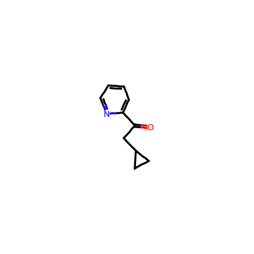 O=C(CC1CC1)c1ccccn1